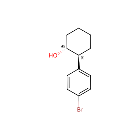 O[C@@H]1CCCC[C@H]1c1ccc(Br)cc1